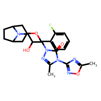 Cc1nc(-n2c(C)nn(CC(O)CN3C4CCC3CC(OCc3ccccc3F)C4)c2=O)no1